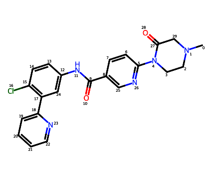 CN1CCN(c2ccc(C(=O)Nc3ccc(Cl)c(-c4ccccn4)c3)cn2)C(=O)C1